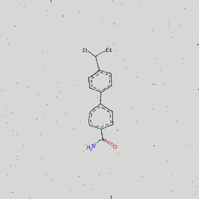 CCC(CC)c1ccc(-c2ccc(C(N)=O)cc2)cc1